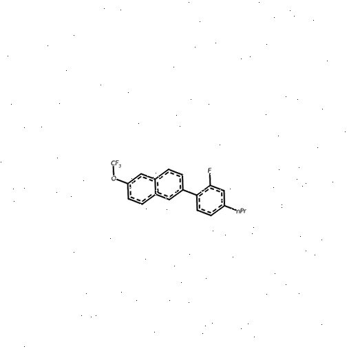 CCCc1ccc(-c2ccc3cc(OC(F)(F)F)ccc3c2)c(F)c1